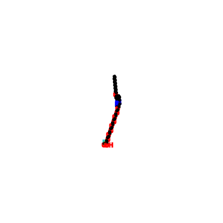 CCCCCCCCCCCCOc1ccc(Cn2cc(COCCOCCOCCOCCOCCOCCOCCOCCP(=O)(O)F)nn2)cc1